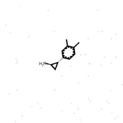 Cc1ccc([C@@H]2C[C@H]2N)cc1C